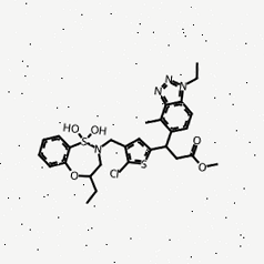 CCC1CN(Cc2cc(C(CC(=O)OC)c3ccc4c(nnn4CC)c3C)sc2Cl)S(O)(O)c2ccccc2O1